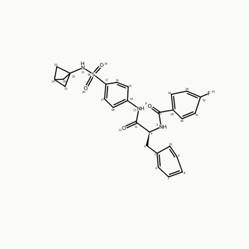 O=C(N[C@@H](Cc1ccccc1)C(=O)Nc1ccc(S(=O)(=O)NC23CC(C2)C3)cc1)c1ccc(F)cc1